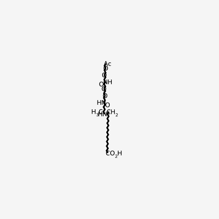 C=C(CCCCCCCCCCCCCCCCC(=O)O)N[C@H](C)CCC(=O)NCCOCCOCC(=O)NCCOCCOCC(C)=O